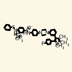 Cc1c(-c2cccc(N3CCN(c4ccc(N[S+]([O-])c5ccc(NSc6ccccc6)c(S(=O)(=O)C(F)(F)F)c5)cc4)CC3)c2)c(-c2ccc(F)cc2)n(C)c1C